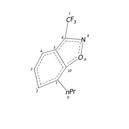 CCCc1[c]ccc2c(C(F)(F)F)noc12